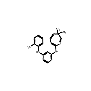 Cc1ccccc1Nc1ccnc(NC2=CC=CC(C)(C)C=N2)c1